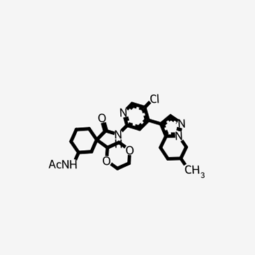 CC(=O)NC1CCCC(C(=O)Nc2cc(-c3cnn4c3CCC(C)C4)c(Cl)cn2)(C2COCCO2)C1